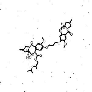 C=C1C[C@H]2C=Nc3cc(OCCCOc4cc5c(cc4OC)C(=O)N4CC(=C)C[C@H]4[C@H](O)N5C(=O)OCC(C)SC(C)C)c(OC)cc3C(=O)N2C1